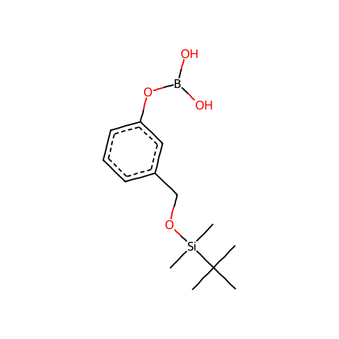 CC(C)(C)[Si](C)(C)OCc1cccc(OB(O)O)c1